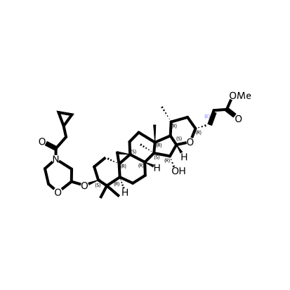 COC(=O)/C=C/[C@H]1C[C@@H](C)C2[C@H](O1)[C@H](O)[C@@]1(C)[C@@H]3CC[C@H]4C(C)(C)[C@@H](OC5CN(C(=O)CC6CC6)CCO5)CC[C@@]45C[C@@]35CC[C@]21C